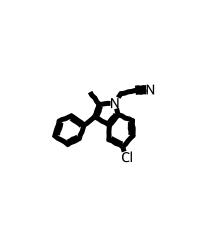 Cc1c(-c2ccccc2)c2cc(Cl)ccc2n1CC#N